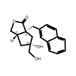 O=C1OC[C@H]2C[C@](O)(CO)C[C@]12Cc1ccc2ccccc2c1